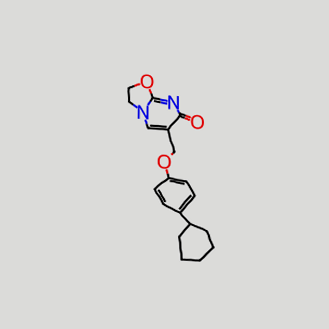 O=c1nc2n(cc1COc1ccc(C3CCCCC3)cc1)CCO2